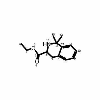 CCOC(=O)C1Cc2ccccc2C(C)(C)N1